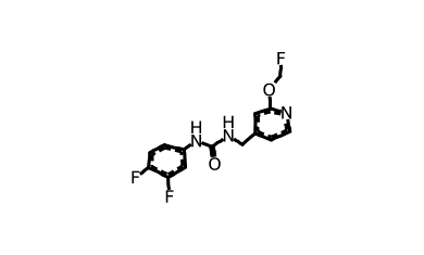 O=C(NCc1ccnc(OCF)c1)Nc1ccc(F)c(F)c1